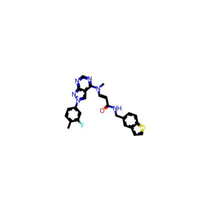 Cc1ccc(-n2cc3c(N(C)C=CC(=O)NCc4ccc5sccc5c4)ncnc3n2)cc1F